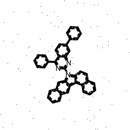 c1ccc(-c2ccc3c(-c4ccccc4)nc(-n4c5cc6ccccc6cc5c5c6ccccc6ccc54)nc3c2)cc1